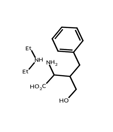 CCNCC.NC(C(=O)O)C(CO)Cc1ccccc1